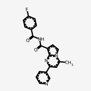 Cc1cc(-c2cccnc2)nc2c(C(=O)NC(=O)c3ccc(F)cc3)ccn12